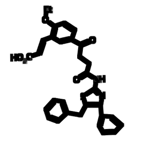 CCOc1ccc(C(=O)CCC(=O)Nc2nc(-c3ccccc3)c(Cc3ccccc3)s2)cc1C=CC(=O)O